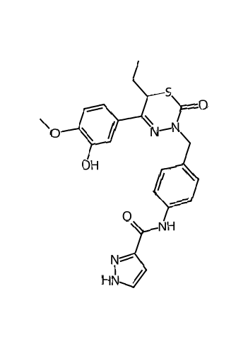 CCC1SC(=O)N(Cc2ccc(NC(=O)c3cc[nH]n3)cc2)N=C1c1ccc(OC)c(O)c1